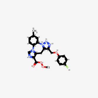 CCOOC(=O)c1ncn2c1Cc1c(COc3ccc(F)cc3)nnn1-c1cc(C)ccc1-2